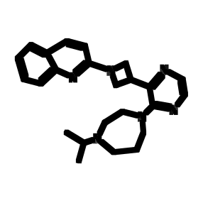 CC(C)N1CCCN(c2nccnc2C2CN(c3ccc4ccccc4n3)C2)CC1